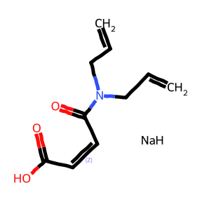 C=CCN(CC=C)C(=O)/C=C\C(=O)O.[NaH]